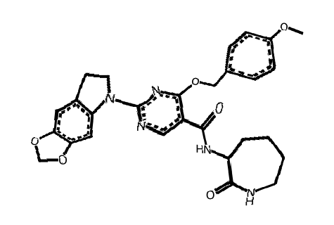 COc1ccc(COc2nc(N3CCc4cc5c(cc43)OCO5)ncc2C(=O)NC2CCCCNC2=O)cc1